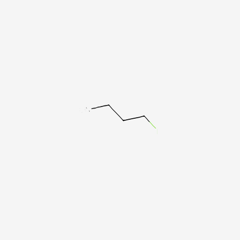 O=NCCCF